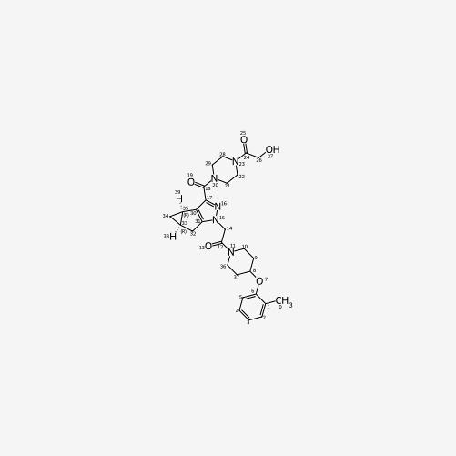 Cc1ccccc1OC1CCN(C(=O)Cn2nc(C(=O)N3CCN(C(=O)CO)CC3)c3c2C[C@H]2C[C@@H]32)CC1